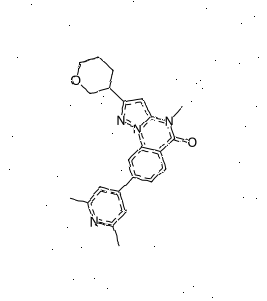 Cc1cc(-c2ccc3c(=O)n(C)c4cc(C5CCCOC5)nn4c3c2)cc(C)n1